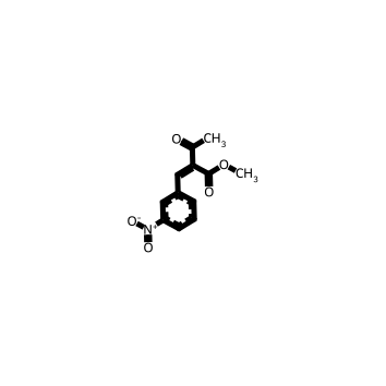 COC(=O)C(=Cc1cccc([N+](=O)[O-])c1)C(C)=O